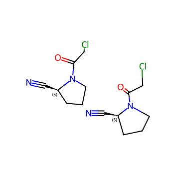 N#C[C@@H]1CCCN1C(=O)CCl.N#C[C@@H]1CCCN1C(=O)CCl